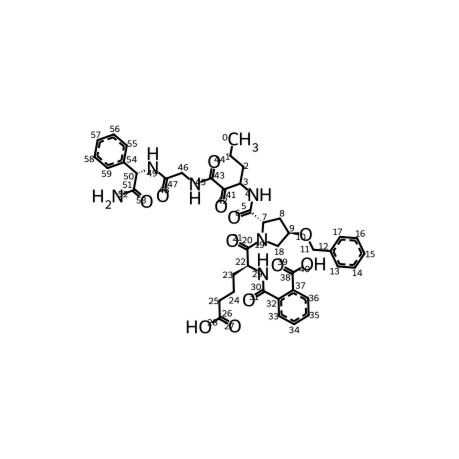 CCCC(NC(=O)[C@@H]1C[C@@H](OCc2ccccc2)CN1C(=O)[C@H](CCCC(=O)O)NC(=O)c1ccccc1C(=O)O)C(=O)C(=O)NCC(=O)N[C@H](C(N)=O)c1ccccc1